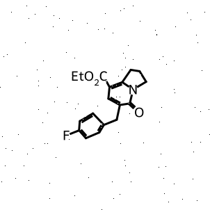 CCOC(=O)c1cc(Cc2ccc(F)cc2)c(=O)n2c1CCC2